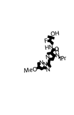 COc1cnn2c(-c3cc(NC(C)C)c(C(=O)NCC(F)C(C)(C)O)cn3)cnc2c1